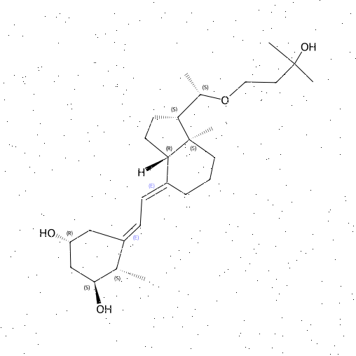 C[C@H](OCCC(C)(C)O)[C@H]1CC[C@H]2/C(=C/C=C3\C[C@@H](O)C[C@H](O)[C@H]3C)CCC[C@]12C